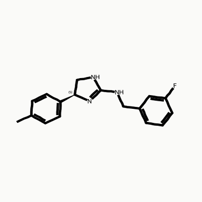 Cc1ccc([C@H]2CNC(NCc3cccc(F)c3)=N2)cc1